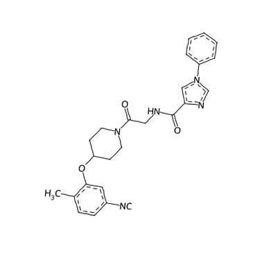 [C-]#[N+]c1ccc(C)c(OC2CCN(C(=O)CNC(=O)c3cn(-c4ccccc4)cn3)CC2)c1